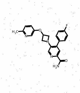 Cc1ccc(OC2CN(c3cnc(C(N)=O)cc3-c3ccc(F)cc3)C2)cn1